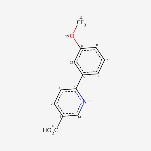 O=C(O)c1ccc(-c2cccc(OC(F)(F)F)c2)nc1